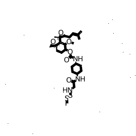 COC1C(OC(=O)N[C@H]2CC[C@H](NC(=O)CNSSF)CC2)CC[C@]2(CO2)C1[C@]1(C)OC1CC=C(C)C